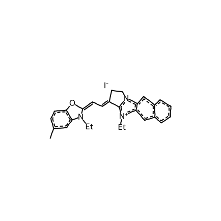 CCN1C(=CC=C2CCn3c2[n+](CC)c2cc4ccccc4cc23)Oc2ccc(C)cc21.[I-]